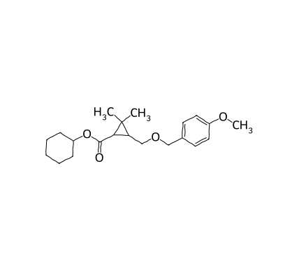 COc1ccc(COCC2C(C(=O)OC3CCCCC3)C2(C)C)cc1